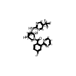 O=C(c1ccc(F)cc1-c1ncccn1)N1C[C@@H]2C[C@@H](Nc3ncc(C(F)(F)F)cn3)[C@@H]1C2